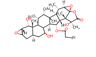 CC(=O)O[C@H]1C2C([C@@H]3[C@@H](OC(=O)CC(C)C)[C@@H]4[C@H]([C@H](C)[C@H]5O[C@]56OC(=O)[C@@](C)(O)[C@]46C)[C@@]3(C)[C@H]1OC(C)=O)[C@@H](O)C[C@H]1C[C@@H]3O[C@@H]3[C@H](O)[C@]21C